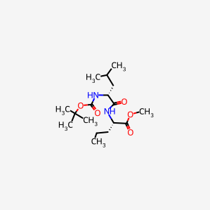 CCC[C@H](NC(=O)[C@@H](CC(C)C)NC(=O)OC(C)(C)C)C(=O)OC